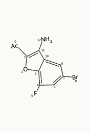 CC(=O)c1oc2c(F)cc(Br)cc2c1N